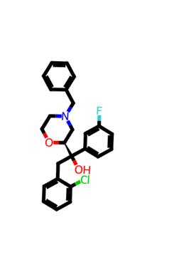 OC(Cc1ccccc1Cl)(c1cccc(F)c1)[C@@H]1CN(Cc2ccccc2)CCO1